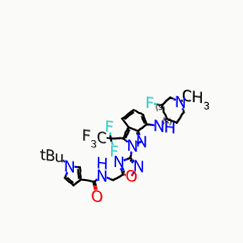 CN1CC[C@@H](Nc2cccc3c(C(F)(F)C(F)(F)F)n(-c4noc(CNC(=O)c5ccn(C(C)(C)C)c5)n4)nc23)[C@@H](F)C1